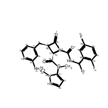 CCC(NC(=O)N1C(=O)[C@H](Cc2ccnc(N)c2)[C@H]1C(=O)N(C)c1ccnn1C)c1cc(F)ccc1F